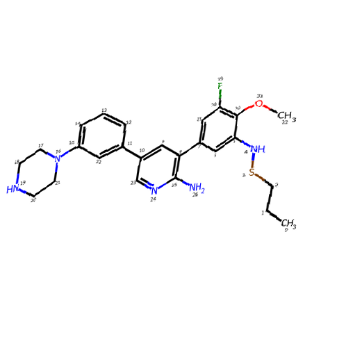 CCCSNc1cc(-c2cc(-c3cccc(N4CCNCC4)c3)cnc2N)cc(F)c1OC